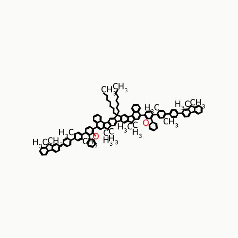 CCCCCCCCC1(CCCCCCCC)c2cc3c(cc2-c2cc4c(cc21)-c1c(cc(-c2ccc(-c5cc(C)c(-c6ccc(-c7ccc8c(c7)C(C)(C)c7ccccc7-8)cc6)cc5C)c5c2oc2ccccc25)c2ccccc12)C4(C)C)C(C)(C)c1cc(-c2ccc(-c4cc(C)c(-c5ccc(-c6ccc7c(c6)C(C)(C)c6ccccc6-7)cc5)cc4C)c4c2OC2C=CC=CC42)c2ccccc2c1-3